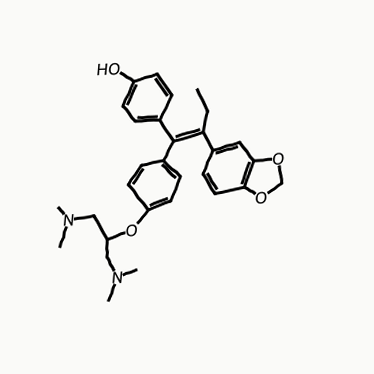 CCC(=C(c1ccc(O)cc1)c1ccc(OC(CN(C)C)CN(C)C)cc1)c1ccc2c(c1)OCO2